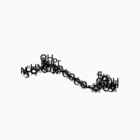 Cc1ncsc1-c1ccc(CNC(=O)C2CC(O)CN2C(=O)C(c2cc(OCCOCCOCCOCCOCC#Cc3ccc4c(c3)C(=O)N(C(C(=O)Nc3nccs3)c3cc(F)ccc3O)C4)no2)C(C)C)cc1